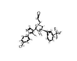 Cc1c(C(=O)N[C@@H](CCCC=O)c2cccc(C(F)(F)F)c2)cnn1-c1ccc(Cl)cc1